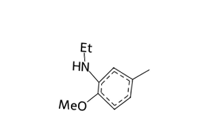 CCNc1cc(C)ccc1OC